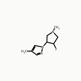 Cc1cnn(C2CN(C)CC2F)c1